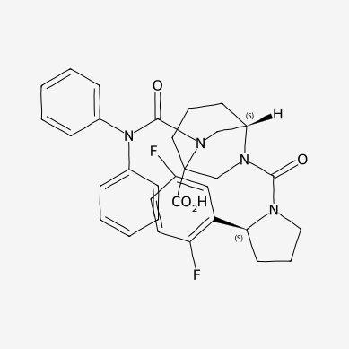 O=C(N1CC2(C(=O)O)CCC[C@H]1CN2C(=O)N(c1ccccc1)c1ccccc1)N1CCC[C@H]1c1cc(F)ccc1F